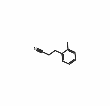 Cc1ccccc1CCC#N